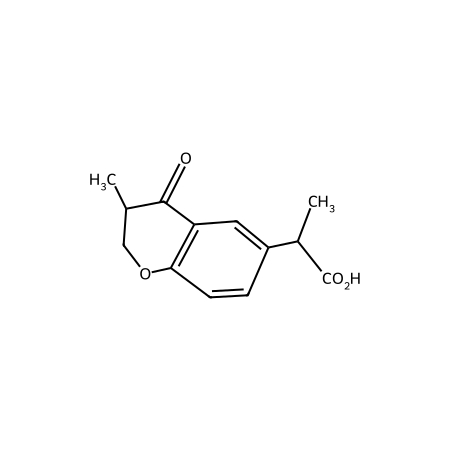 CC1COc2ccc(C(C)C(=O)O)cc2C1=O